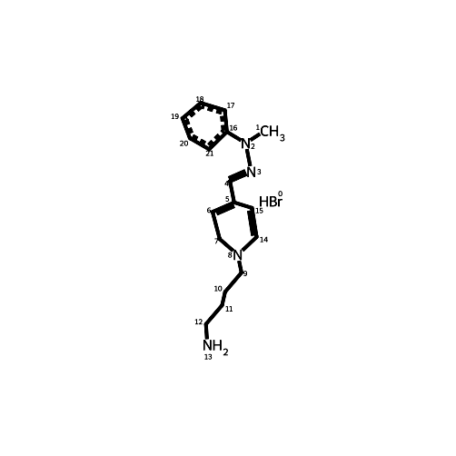 Br.CN(/N=C/C1=CCN(CCCCN)C=C1)c1ccccc1